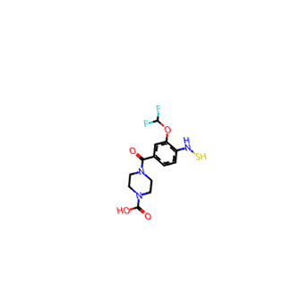 O=C(O)N1CCN(C(=O)c2ccc(NS)c(OC(F)F)c2)CC1